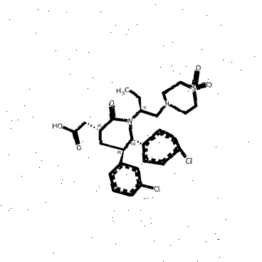 CC[C@@H](CN1CCS(=O)(=O)CC1)N1C(=O)[C@@H](CC(=O)O)C[C@H](c2cccc(Cl)c2)[C@H]1c1ccc(Cl)cc1